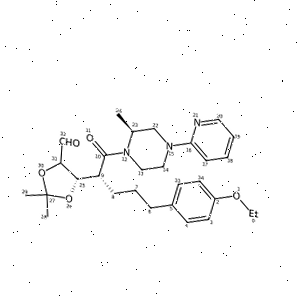 CCOc1ccc(CCC[C@@H](C(=O)N2CCN(c3ccccn3)C[C@@H]2C)[C@@H]2OC(C)(C)OC2C=O)cc1